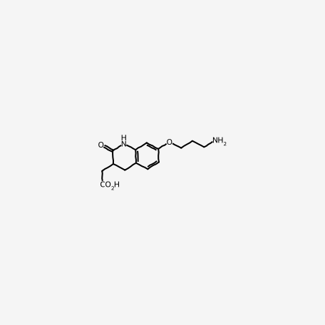 NCCCOc1ccc2c(c1)NC(=O)C(CC(=O)O)C2